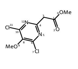 COC(=O)Cc1nc(Cl)c(OC)c(Cl)n1